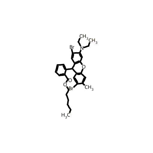 CCCCCCOC(=O)c1ccccc1C1c2cc(Br)c(C)cc2Oc2cc(N(CC)CC)c(Br)cc21